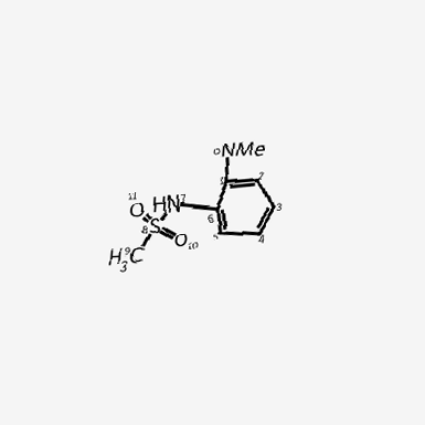 CNc1ccccc1NS(C)(=O)=O